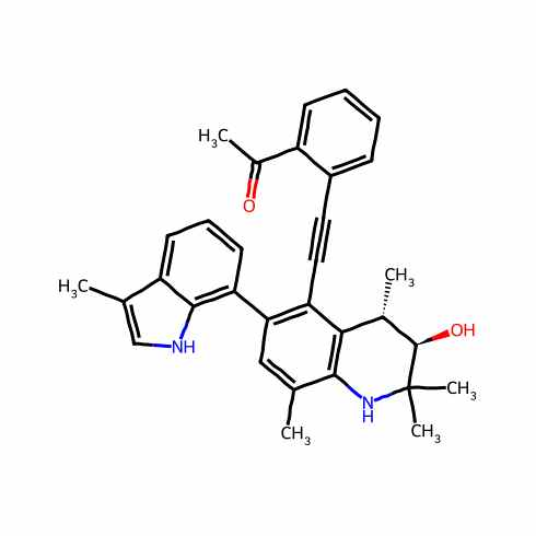 CC(=O)c1ccccc1C#Cc1c(-c2cccc3c(C)c[nH]c23)cc(C)c2c1[C@H](C)[C@@H](O)C(C)(C)N2